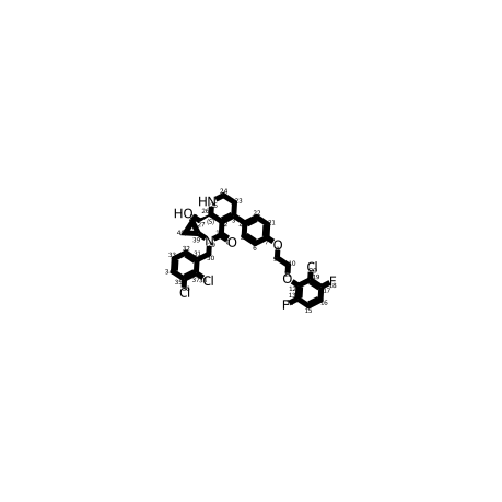 O=C(C1=C(c2ccc(OCCOc3c(F)ccc(F)c3Cl)cc2)CCN[C@@H]1CO)N(Cc1cccc(Cl)c1Cl)C1CC1